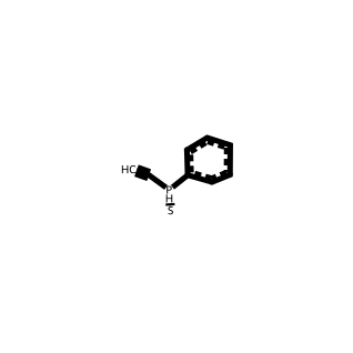 C#C[PH](=S)c1ccccc1